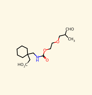 CC(C=O)COCCOC(=O)NCC1(CC(=O)O)CCCCC1